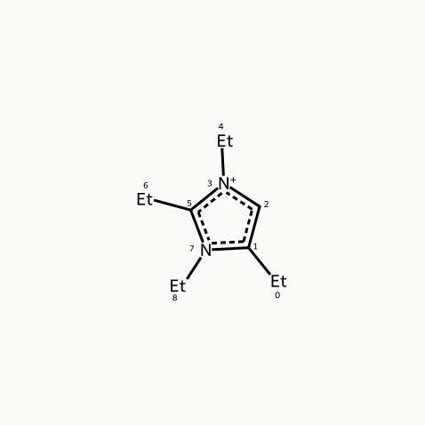 CCc1c[n+](CC)c(CC)n1CC